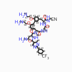 Cc1nc(-c2ccc(C(F)(F)F)cc2)ncc1C(=O)N[C@@H](CCN)C(=O)N(C)[C@@H]1C(=O)N[C@@H](C)C(=O)N[C@H](C(=O)NCC#N)Cc2ccc(OCCN)c(c2)-c2cc1ccc2OCCN